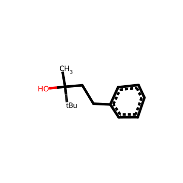 CC(C)(C)C(C)(O)CCc1ccccc1